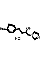 Cl.OC(CCc1ccc(Br)cc1)Cn1ccnc1